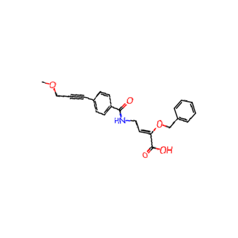 COCC#Cc1ccc(C(=O)NCC=C(OCc2ccccc2)C(=O)O)cc1